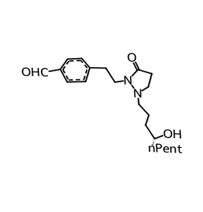 CCCCC[C@@H](O)CCCN1CCC(=O)N1CCc1ccc(C=O)cc1